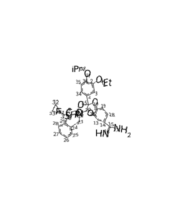 CCOc1cc(C(OC(=O)C(F)(F)F)(Oc2ccc(C(=N)N)cc2)C(=O)NCc2ccccc2SC2CC2)ccc1OC(C)C